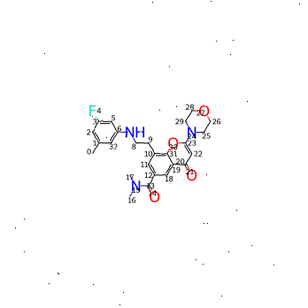 Cc1cc(F)cc(NCCc2cc(C(=O)N(C)C)cc3c(=O)cc(N4CCOCC4)oc23)c1